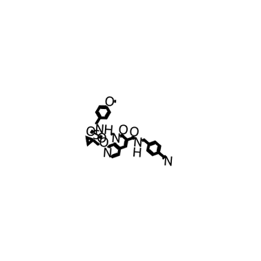 COc1ccc(CNS(=O)(=O)C2(COc3nccc4cc(C(=O)NCc5ccc(C#N)cc5)c(=O)n(C)c34)CC2)cc1